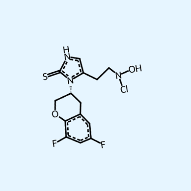 ON(Cl)CCc1c[nH]c(=S)n1[C@H]1COc2c(F)cc(F)cc2C1